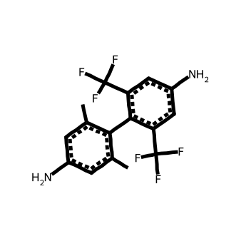 Cc1cc(N)cc(C)c1-c1c(C(F)(F)F)cc(N)cc1C(F)(F)F